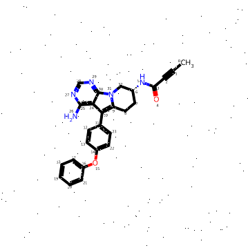 CC#CC(=O)N[C@@H]1CCc2c(-c3ccc(Oc4ccccc4)cc3)c3c(N)ncnc3n2C1